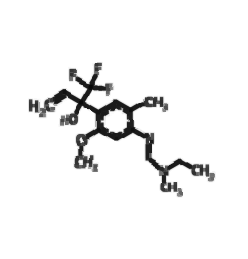 C=CC(O)(c1cc(C)c(/N=C/N(C)CC)cc1OC)C(F)(F)F